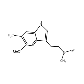 CCCN(C)CCc1c[nH]c2cc(C)c(OC)cc12